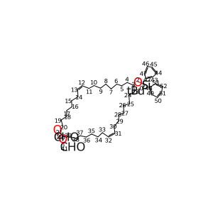 CC(C)(C)[Si](OC(CCCCCCCC/C=C\CCCCCCCOC=O)CCCCCCCC/C=C\CCCCCCCOC=O)(c1ccccc1)c1ccccc1